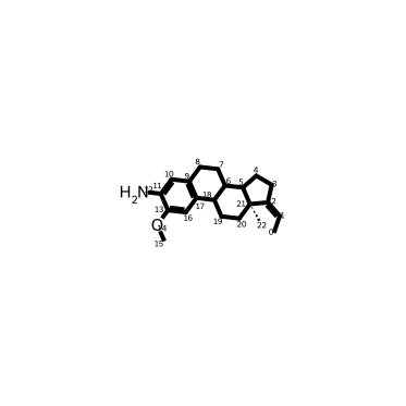 C/C=C1/CCC2C3CCc4cc(N)c(OC)cc4C3CC[C@]12C